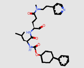 CC(C)C[C@H](NC(=O)OC1CCC(c2ccccc2)CC1)C(=O)N[C@H](C=O)CCC(=O)N(C)CCc1ccncc1